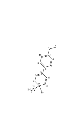 CCc1ccc(C2=CCC(C)(N)C=C2)cc1